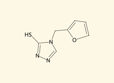 Sc1nncn1Cc1ccco1